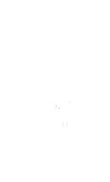 C#CC1CN(C)C(=S)O1